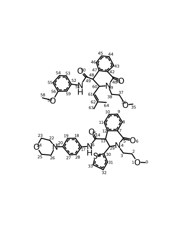 COCCN1C(=O)c2ccccc2C(C(=O)Nc2ccc(N3CCOCC3)cc2)C1c1cccs1.COCCN1C(=O)c2ccccc2C(C(=O)Nc2cccc(OC)c2)C1C=C(C)C